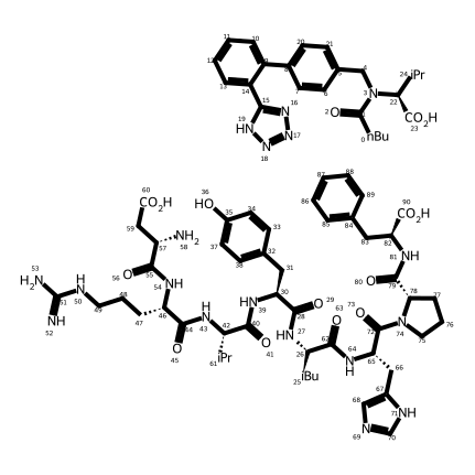 CCCCC(=O)N(Cc1ccc(-c2ccccc2-c2nnn[nH]2)cc1)[C@H](C(=O)O)C(C)C.CC[C@H](C)[C@H](NC(=O)[C@H](Cc1ccc(O)cc1)NC(=O)[C@@H](NC(=O)[C@H](CCCNC(=N)N)NC(=O)[C@@H](N)CC(=O)O)C(C)C)C(=O)N[C@@H](Cc1cnc[nH]1)C(=O)N1CCC[C@H]1C(=O)N[C@@H](Cc1ccccc1)C(=O)O